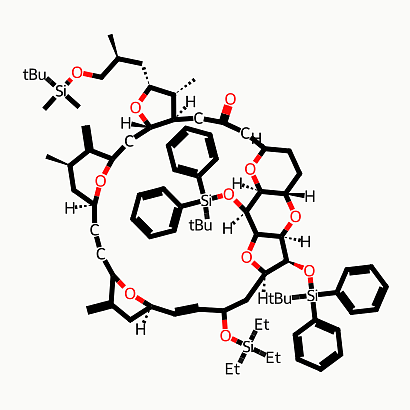 C=C1C[C@@H]2/C=C/C(O[Si](CC)(CC)CC)C[C@H]3OC4[C@@H](O[C@H]5CC[C@H](CC(=O)C[C@@H]6[C@@H](C)[C@@H](C[C@H](C)CO[Si](C)(C)C(C)(C)C)O[C@H]6CC6O[C@@H](CCC1O2)C[C@@H](C)C6=C)O[C@@H]5[C@@H]4O[Si](c1ccccc1)(c1ccccc1)C(C)(C)C)[C@H]3O[Si](c1ccccc1)(c1ccccc1)C(C)(C)C